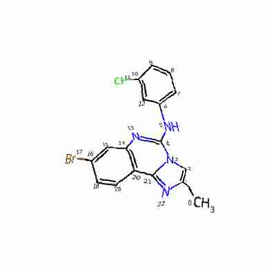 Cc1cn2c(Nc3cccc(Cl)c3)nc3cc(Br)ccc3c2n1